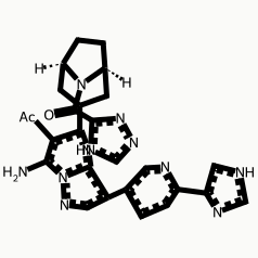 CC(=O)c1c(C2C[C@H]3CC[C@@H](C2)N3C(=O)c2nnc[nH]2)nc2c(-c3ccc(-c4c[nH]cn4)nc3)cnn2c1N